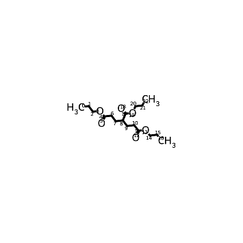 CCCOC(=O)CCC(CCC(=O)OCCC)C(=O)OCCC